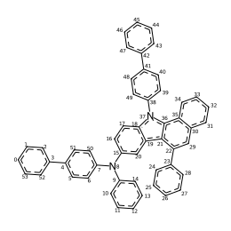 c1ccc(-c2ccc(N(c3ccccc3)c3ccc4c(c3)c3c(-c5ccccc5)cc5ccccc5c3n4-c3ccc(-c4ccccc4)cc3)cc2)cc1